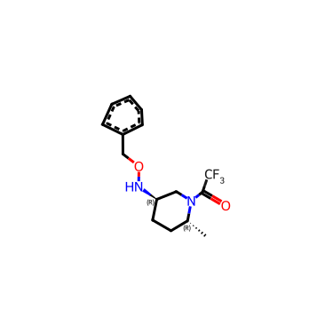 C[C@@H]1CC[C@@H](NOCc2ccccc2)CN1C(=O)C(F)(F)F